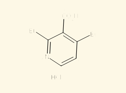 CCc1ccnc(CC)c1C(=O)O.Cl